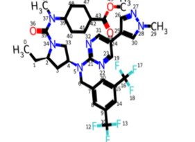 CC[C@@H]1C[C@H](N(Cc2cc(C(F)(F)F)cc(C(F)(F)F)c2)c2ncc(-c3cnn(C)c3)cn2)CN1C(=O)N(C)C1CCC(C(=O)OC)CC1